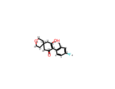 Cc1cc(F)ccc1C1=C(O)CC2(CCOCC2)CC1=O